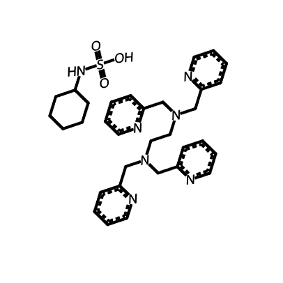 O=S(=O)(O)NC1CCCCC1.c1ccc(CN(CCN(Cc2ccccn2)Cc2ccccn2)Cc2ccccn2)nc1